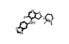 C[C@H]1[C@H](C2Cc3c(ncc(F)c3Nc3ccc4scnc4c3)S2)CCCN1C